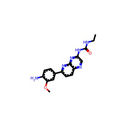 CCNC(=O)Nc1cnc2ccc(-c3ccc(N)c(OC)c3)nc2n1